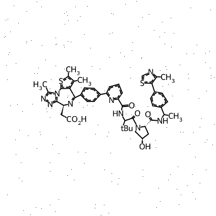 Cc1ncsc1-c1ccc(C(C)NC(=O)[C@@H]2C[C@@H](O)CN2C(=O)C(NC(=O)c2cccc(-c3ccc(C4=N[C@@H](CC(=O)O)c5nnc(C)n5-c5sc(C)c(C)c54)cc3)n2)C(C)(C)C)cc1